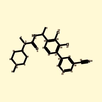 CC(NC(=O)N(C)C1CCN(C)CC1)c1ccc(-c2cncc(C#N)c2)c(Cl)c1Cl